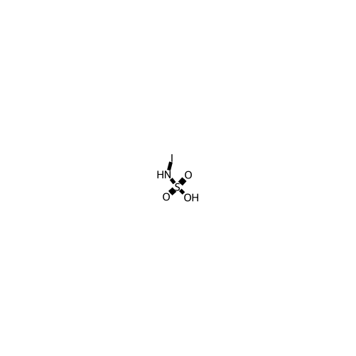 O=S(=O)(O)NI